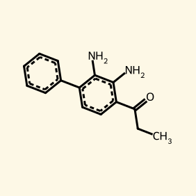 CCC(=O)c1ccc(-c2ccccc2)c(N)c1N